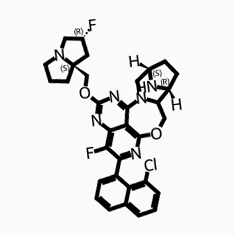 Fc1c(-c2cccc3cccc(Cl)c23)nc2c3c(nc(OC[C@@]45CCCN4C[C@H](F)C5)nc13)N1C[C@@H]3CC[C@@H](N3)C1CO2